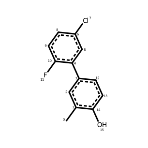 Cc1cc(-c2cc(Cl)ccc2F)ccc1O